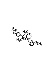 C=N/C(=C\C1=C(C)OCCN(Cc2nccc(OC)n2)C1=O)c1ccc(OC(F)(F)F)cc1